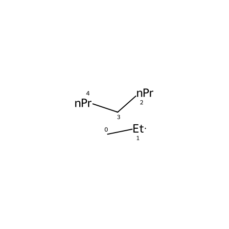 C[CH]C.[CH2]CCCCCC